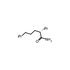 CC(C)CCC[C@@H](C(N)=O)C(C)C